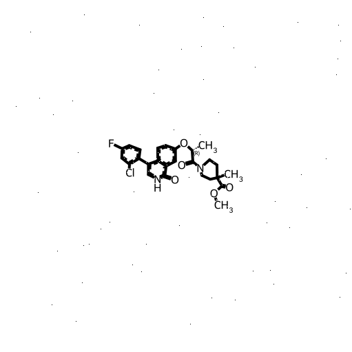 COC(=O)C1(C)CCN(C(=O)[C@@H](C)Oc2ccc3c(-c4ccc(F)cc4Cl)c[nH]c(=O)c3c2)CC1